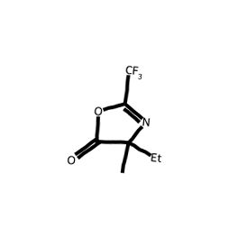 CCC1(C)N=C(C(F)(F)F)OC1=O